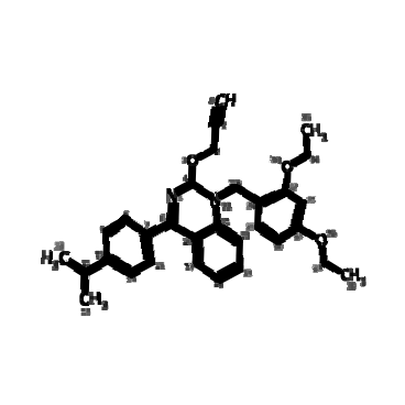 C#CCOC1N=C(c2ccc(C(C)C)cc2)c2ccccc2N1Cc1ccc(OCC)cc1OCC